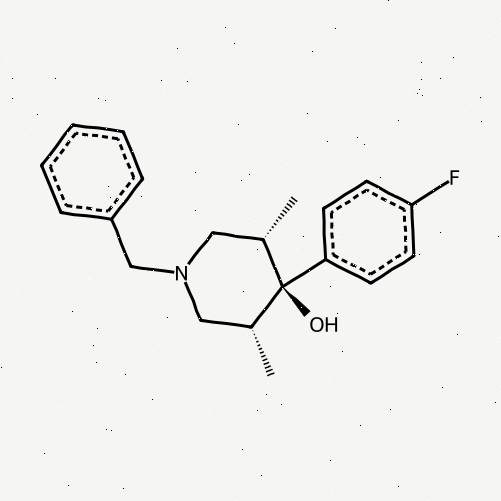 C[C@@H]1CN(Cc2ccccc2)C[C@H](C)[C@]1(O)c1ccc(F)cc1